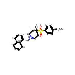 COc1ccc(S(=O)(=O)C2(C(=O)O)CCN(Cc3cccc4ccccc34)CC2)cc1